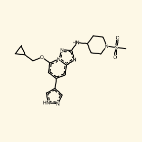 CS(=O)(=O)N1CCC(Nc2nc3cc(-c4cn[nH]c4)cc(OCC4CC4)n3n2)CC1